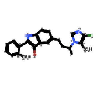 CC(CCc1ccc2[nH]c(-c3ccccc3C(=O)O)c(Br)c2c1)n1cnc(Cl)c1C(=O)O